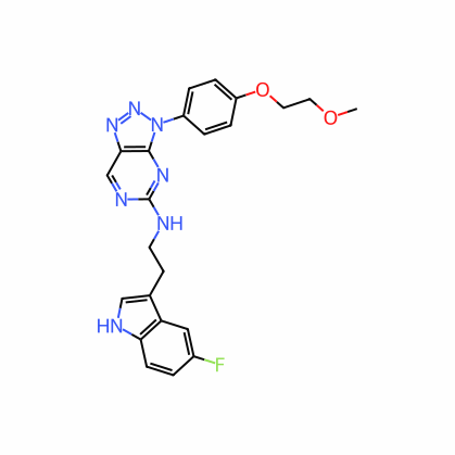 COCCOc1ccc(-n2nnc3cnc(NCCc4c[nH]c5ccc(F)cc45)nc32)cc1